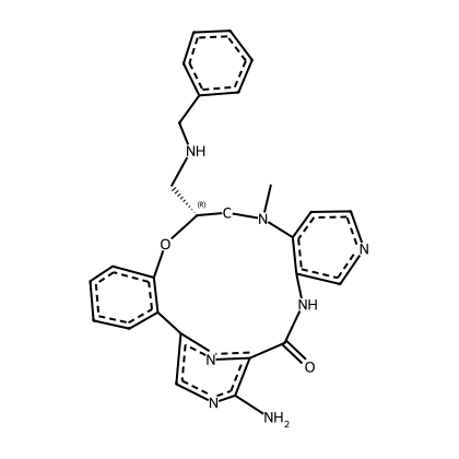 CN1C[C@@H](CNCc2ccccc2)Oc2ccccc2-c2cnc(N)c(n2)C(=O)Nc2cnccc21